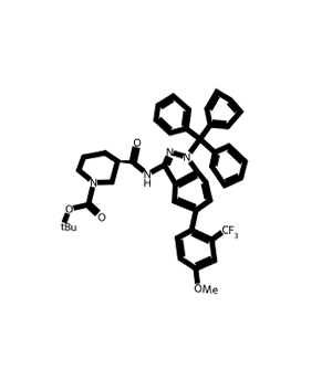 COc1ccc(-c2ccc3c(c2)c(NC(=O)[C@@H]2CCCN(C(=O)OC(C)(C)C)C2)nn3C(c2ccccc2)(c2ccccc2)c2ccccc2)c(C(F)(F)F)c1